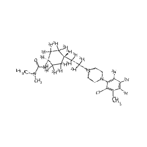 [2H]c1c([2H])c(C)c(Cl)c(N2CCN(C([2H])([2H])C([2H])([2H])[C@]3([2H])C([2H])([2H])C([2H])([2H])[C@@]([2H])(NC(=O)N(C)C)C([2H])([2H])C3([2H])[2H])CC2)c1[2H]